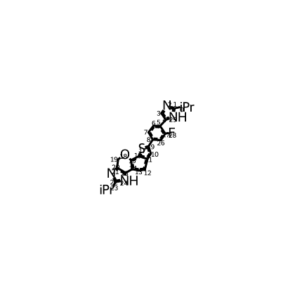 CC(C)c1ncc(-c2ccc(-c3cc4ccc5c(c4s3)OCc3nc(C(C)C)[nH]c3-5)cc2F)[nH]1